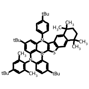 Cc1cc(C(C)(C)C)cc(C)c1N1c2ccc(C(C)(C)C)cc2B2c3sc4cc5c(cc4c3N(c3ccc(C(C)(C)C)cc3)c3cc(C(C)(C)C)cc1c32)C(C)(C)CCC5(C)C